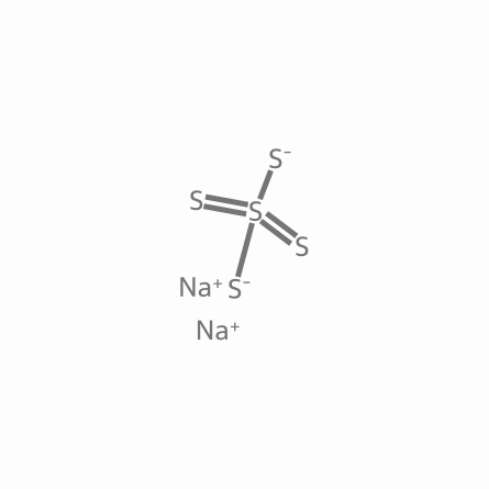 S=S(=S)([S-])[S-].[Na+].[Na+]